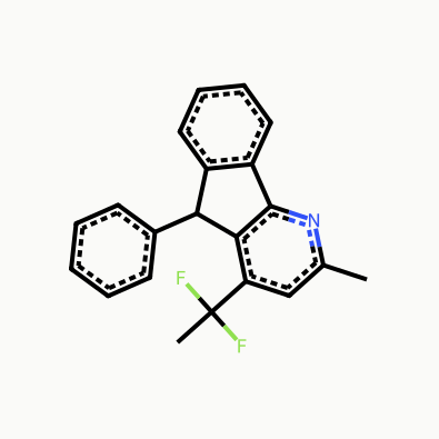 Cc1cc(C(C)(F)F)c2c(n1)-c1ccccc1C2c1ccccc1